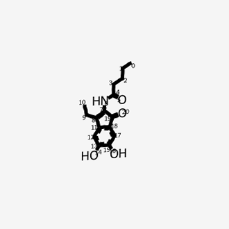 CCCCC(=O)NC1=C(CC)c2cc(O)c(O)cc2C1=O